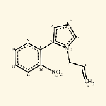 C=CCn1cncc1-c1ccccc1[N+](=O)[O-]